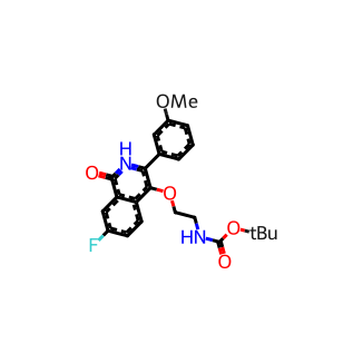 COc1cccc(-c2[nH]c(=O)c3cc(F)ccc3c2OCCNC(=O)OC(C)(C)C)c1